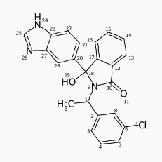 CC(c1cccc(Cl)c1)N1C(=O)c2ccccc2C1(O)c1ccc2[nH][c]nc2c1